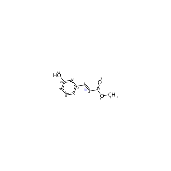 COC(=O)/C=C/c1cccc(O)c1